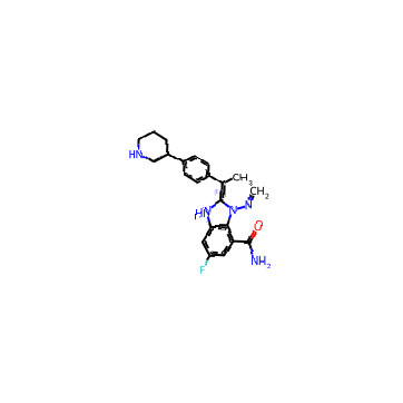 C=NN1/C(=C(\C)c2ccc(C3CCCNC3)cc2)Nc2cc(F)cc(C(N)=O)c21